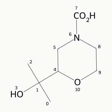 CC(C)(O)C1CN(C(=O)O)CCO1